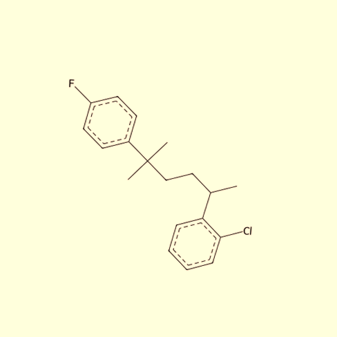 CC(CCC(C)(C)c1ccc(F)cc1)c1ccccc1Cl